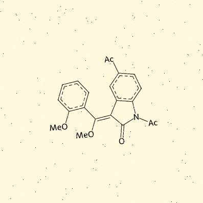 CO/C(=C1\C(=O)N(C(C)=O)c2ccc(C(C)=O)cc21)c1ccccc1OC